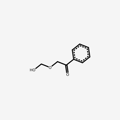 O=C(COCO)c1ccccc1